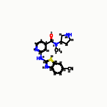 CN(C(=O)c1ccnc(Nc2nc3ccc(C#N)cc3s2)c1)C1CCNC1